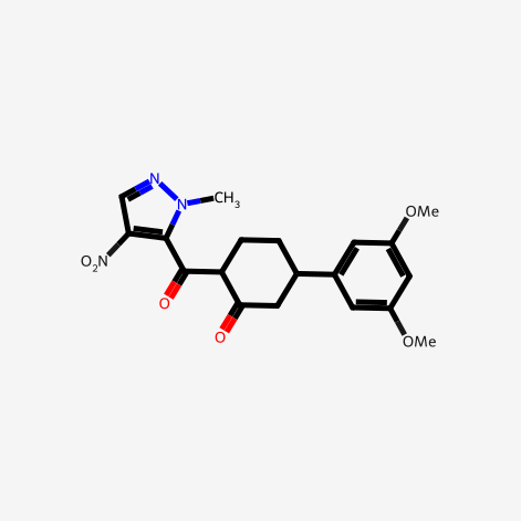 COc1cc(OC)cc(C2CCC(C(=O)c3c([N+](=O)[O-])cnn3C)C(=O)C2)c1